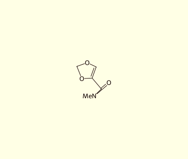 [CH2]NC(=O)C1=COCO1